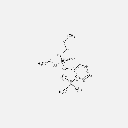 CCCS[P@](=O)(OCC)Oc1ccccc1C(C)(C)C